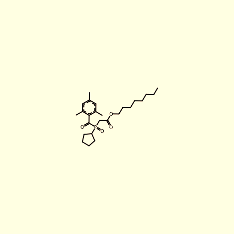 CCCCCCCCOC(=O)CP(=O)(C(=O)c1c(C)cc(C)cc1C)C1CCCC1